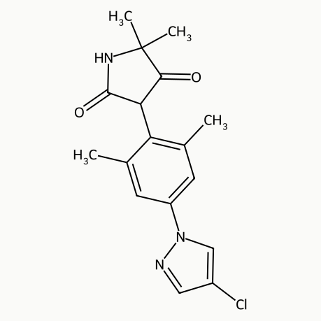 Cc1cc(-n2cc(Cl)cn2)cc(C)c1C1C(=O)NC(C)(C)C1=O